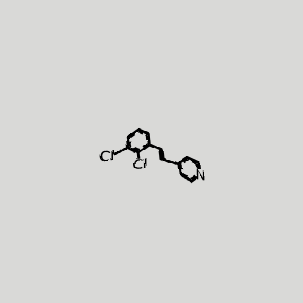 Clc1cccc(C=Cc2ccncc2)c1Cl